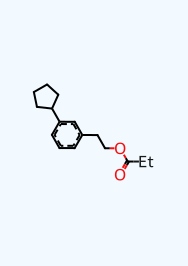 CCC(=O)OCCc1cccc(C2CCCC2)c1